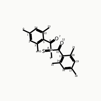 Cc1cc(C)c(C(=O)P(C)(=S)C(=O)c2c(C)cc(C)cc2C)c(C)c1